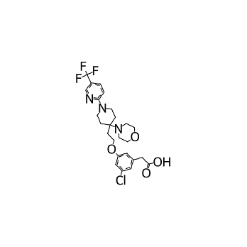 O=C(O)Cc1cc(Cl)cc(OCCC2(N3CCOCC3)CCN(c3ccc(C(F)(F)F)cn3)CC2)c1